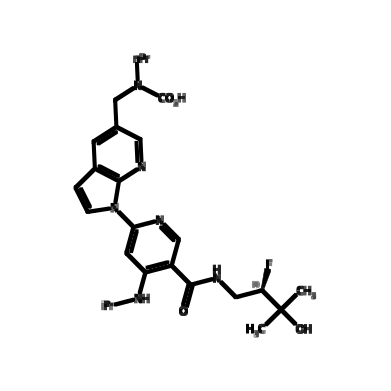 CCCN(Cc1cnc2c(ccn2-c2cc(NC(C)C)c(C(=O)NC[C@@H](F)C(C)(C)O)cn2)c1)C(=O)O